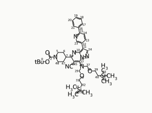 CC(C)(C)OC(=O)N1CCC(c2nc3c(-c4ccc(-c5ccccc5)nc4)cnn3c(N(COCC[Si](C)(C)C)COCC[Si](C)(C)C)c2C#N)CC1